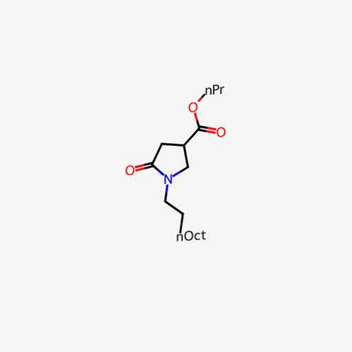 CCCCCCCCCCN1CC(C(=O)OCCC)CC1=O